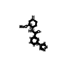 CO[C@H]1CNCC[C@H]1NC(=O)c1cccc(-n2cnnn2)n1